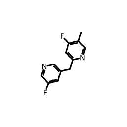 Cc1cnc(Cc2cncc(F)c2)cc1F